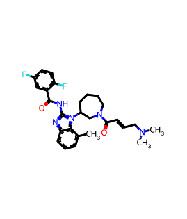 Cc1cccc2nc(NC(=O)c3cc(F)ccc3F)n(C3CCCCN(C(=O)/C=C/CN(C)C)C3)c12